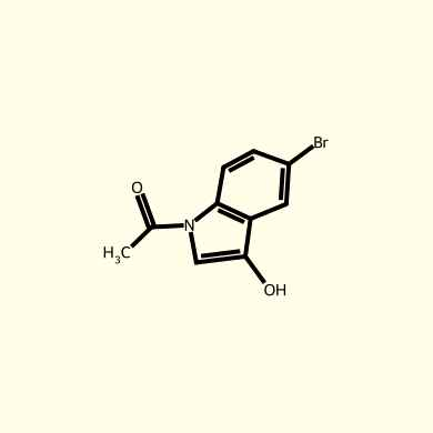 CC(=O)n1cc(O)c2cc(Br)ccc21